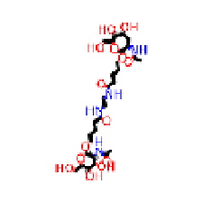 CC(=O)NC1C[C@@H](O)[C@@H](O)C(CO)O[C@H]1OCCCCC(=O)NCCNC(=O)CCCCO[C@@H]1OC(CO)[C@H](O)C(O)[C@@H]1NC(C)=O